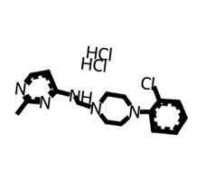 Cc1nccc(NCN2CCN(c3ccccc3Cl)CC2)n1.Cl.Cl